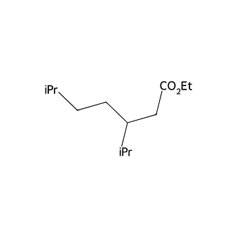 CCOC(=O)CC(CCC(C)C)C(C)C